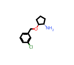 N[C@H]1CCC[C@@H]1OCc1cccc(Cl)c1